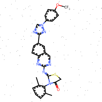 Cc1cccc(C)c1N1C(=O)CS/C1=N\c1ncc2cc(-c3ncn(-c4ccc(OC(F)(F)F)cc4)n3)ccc2n1